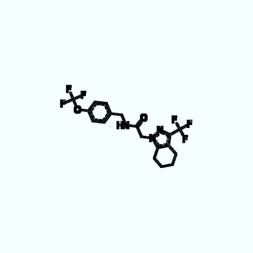 O=C(Cn1nc(C(F)(F)F)c2c1CCCC2)NCc1ccc(OC(F)(F)F)cc1